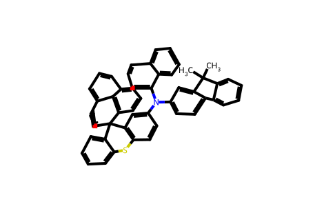 CC1(C)c2ccccc2-c2ccc(N(c3ccc4c(c3)C3(c5ccccc5S4)c4ccccc4-c4cccc5cccc3c45)c3cccc4ccccc34)cc21